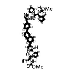 COC(=O)NC(C(=O)N1CCC[C@H]1c1ncc(-c2ccc3cc(-c4ccc(-c5cnc([C@@H]6CCCN6C(=O)[C@H](NC(=O)OC)c6cccs6)[nH]5)cc4)ccc3c2)[nH]1)C(C)C